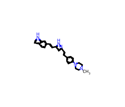 CN1CCN(c2ccc(C=Cc3cc(C=Cc4ccc5cc[nH]c5c4)[nH]n3)cc2)CC1